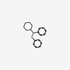 c1ccc(SN(c2ccccc2)C2CCCCC2)cc1